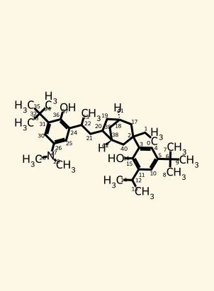 CCC1(c2cc(C(C)(C)C)cc(C(C)C)c2O)C[C@@H]2CC(CC(C)c3cc(N(C)C)cc(C(C)(C)C)c3O)[C@H](C2)C1